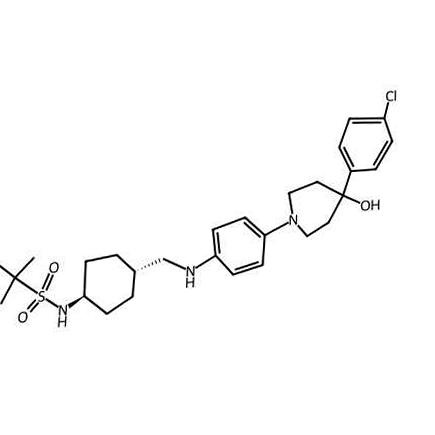 CC(C)(C)S(=O)(=O)N[C@H]1CC[C@H](CNc2ccc(N3CCC(O)(c4ccc(Cl)cc4)CC3)cc2)CC1